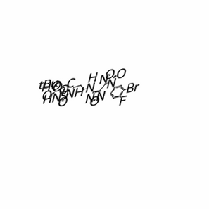 CC(C)(C)OC(=O)NS(=O)(=O)NC(CCNc1nonc1-c1noc(=O)n1-c1ccc(F)c(Br)c1)C(=O)O